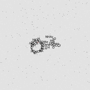 C=C1C[C@@H]2CC[C@@]34C[C@H]5OC6C(O[C@H]7CC[C@H](CC(=O)C[C@@H]8[C@@H](OC)[C@@H](C[C@H](O)CNC(=O)CNC(=O)[C@H](Cc9ccccc9)NC(=O)CNC(=O)CNC(C)=O)O[C@H]8C[C@H]8O[C@@H](CC[C@@H]1O2)C[C@@H](C)C8=C)O[C@@H]7[C@@H]6O3)[C@H]5O4